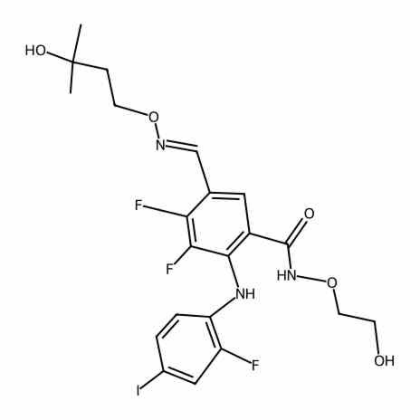 CC(C)(O)CCO/N=C/c1cc(C(=O)NOCCO)c(Nc2ccc(I)cc2F)c(F)c1F